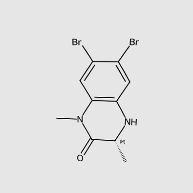 C[C@H]1Nc2cc(Br)c(Br)cc2N(C)C1=O